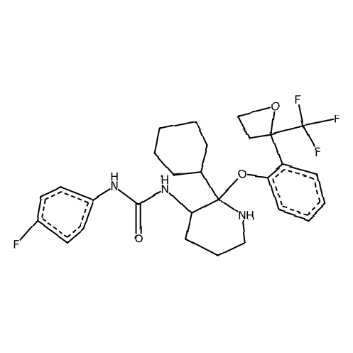 O=C(Nc1ccc(F)cc1)NC1CCCNC1(Oc1ccccc1C1(C(F)(F)F)CCO1)C1CCCCC1